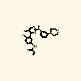 C=CC(=O)Nc1ccc(Cl)c(-c2nc(Nc3cccc(N4CCOCC4)c3)ncc2F)c1